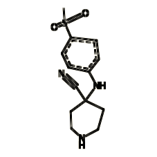 CS(=O)(=O)c1ccc(NC2(C#N)CCNCC2)cc1